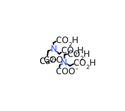 O=C([O-])CN(CC(=O)O)CC(=O)O.O=C([O-])CN(CC(=O)O)CC(=O)O.[Ca+2]